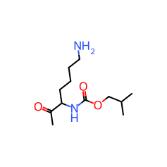 CC(=O)C(CCCCN)NC(=O)OCC(C)C